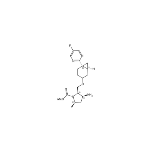 COC(=O)N1[C@H](C)C[C@H](N)[C@@H]1COC1CC[C@@]2(c3ncc(F)cn3)C[C@H]2C1